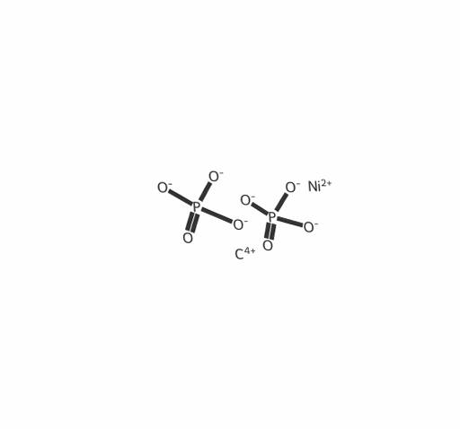 O=P([O-])([O-])[O-].O=P([O-])([O-])[O-].[C+4].[Ni+2]